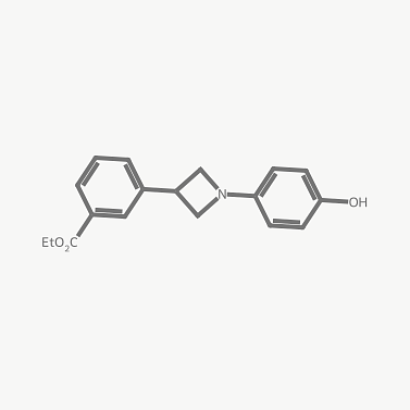 CCOC(=O)c1cccc(C2CN(c3ccc(O)cc3)C2)c1